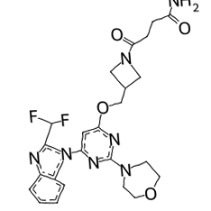 NC(=O)CCC(=O)N1CC(COc2cc(-n3c(C(F)F)nc4ccccc43)nc(N3CCOCC3)n2)C1